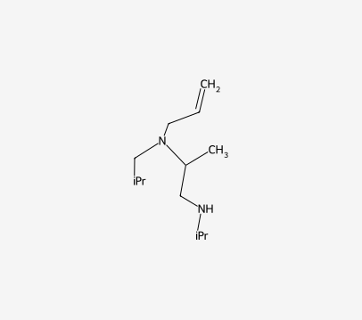 C=CCN(CC(C)C)C(C)CNC(C)C